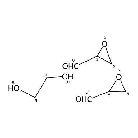 O=CC1CO1.O=CC1CO1.OCCO